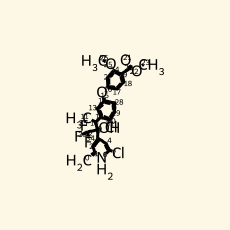 C=C/C=C(\C=C(/N)Cl)C(O)(C(C)c1cc(Oc2ccc(C(=O)OC)c(OC)c2)ccc1Cl)C(F)(F)F